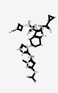 Cn1nc(OC(F)F)cc1Nc1nncn1[C@H]1CCc2sc(NC(=O)C3CC3)c(S(=O)(=O)N[C@H]3C[C@H](F)C3)c2C1